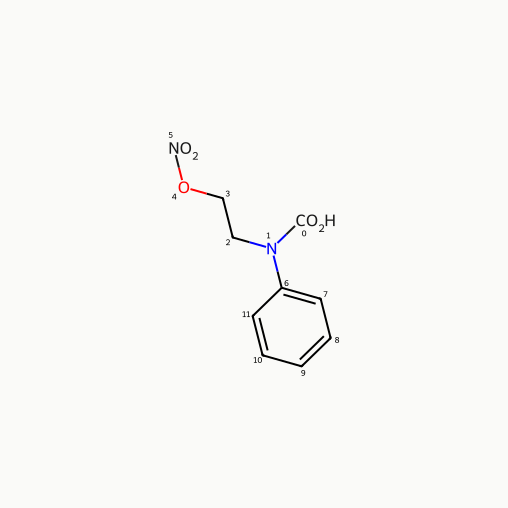 O=C(O)N(CCO[N+](=O)[O-])c1ccccc1